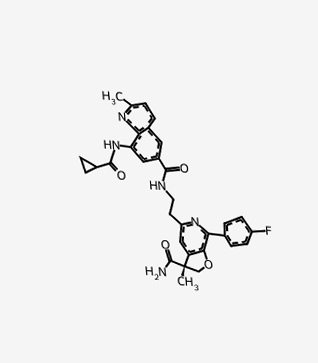 Cc1ccc2cc(C(=O)NCCc3cc4c(c(-c5ccc(F)cc5)n3)OC[C@]4(C)C(N)=O)cc(NC(=O)C3CC3)c2n1